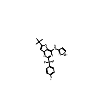 CC(C)(C)c1cc2nc(C(F)(F)c3ccc(F)cc3)nc(Nc3cc[nH]n3)c2s1